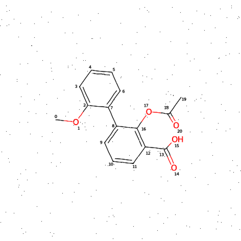 COc1ccccc1-c1cccc(C(=O)O)c1OC(C)=O